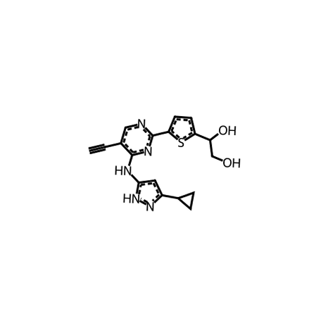 C#Cc1cnc(-c2ccc(C(O)CO)s2)nc1Nc1cc(C2CC2)n[nH]1